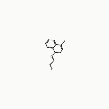 FCCOc1ccc(I)c2ccccc12